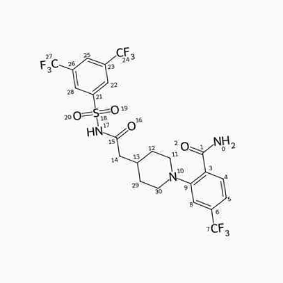 NC(=O)c1ccc(C(F)(F)F)cc1N1CCC(CC(=O)NS(=O)(=O)c2cc(C(F)(F)F)cc(C(F)(F)F)c2)CC1